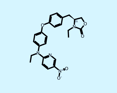 CCN(c1ccc(Oc2ccc(C[C@H]3COC(=O)N3CC)cc2)cc1)c1ccc([N+](=O)[O-])cn1